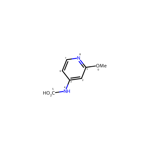 COc1cc(NC(=O)O)ccn1